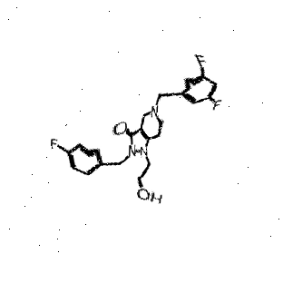 O=c1c2c(n(CCO)n1Cc1ccc(F)cc1)CCN(Cc1cc(F)cc(F)c1)C2